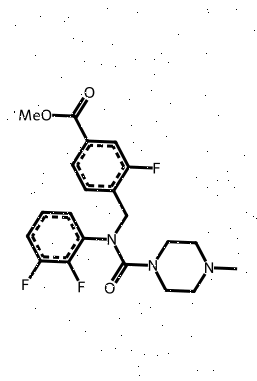 COC(=O)c1ccc(CN(C(=O)N2CCN(C)CC2)c2cccc(F)c2F)c(F)c1